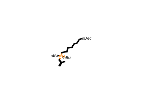 C=C(C)C[PH](CCCC)(CCCC)CCCCCCCCCCCCCCCCC